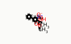 CCOC(=O)C(O)(CC)c1ccc(-c2ccccc2)cc1[N+](=O)[O-]